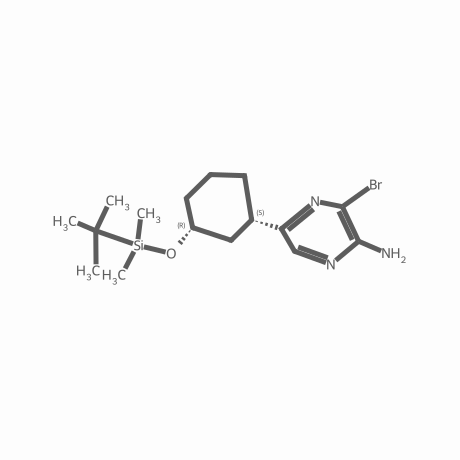 CC(C)(C)[Si](C)(C)O[C@@H]1CCC[C@H](c2cnc(N)c(Br)n2)C1